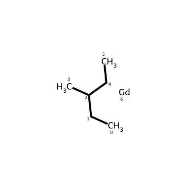 CCC(C)CC.[Gd]